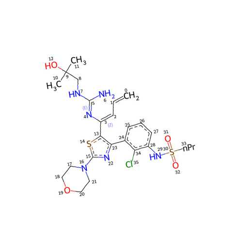 C=C/C=C(\N=C(/N)NCC(C)(C)O)c1sc(N2CCOCC2)nc1-c1cccc(NS(=O)(=O)CCC)c1Cl